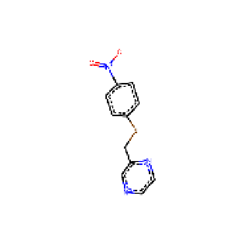 O=[N+]([O-])c1ccc(SCc2cnccn2)cc1